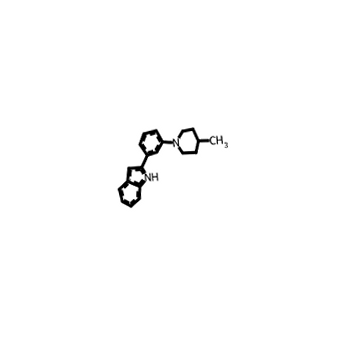 CC1CCN(c2cccc(-c3cc4ccccc4[nH]3)c2)CC1